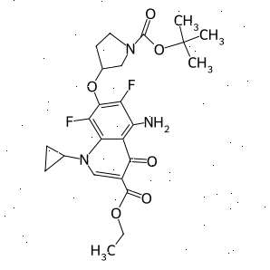 CCOC(=O)c1cn(C2CC2)c2c(F)c(OC3CCN(C(=O)OC(C)(C)C)C3)c(F)c(N)c2c1=O